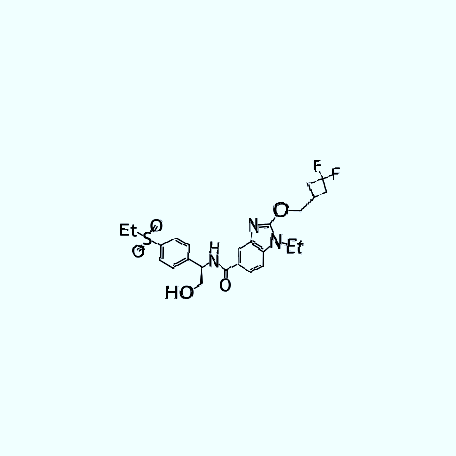 CCn1c(OCC2CC(F)(F)C2)nc2cc(C(=O)N[C@@H](CO)c3ccc(S(=O)(=O)CC)cc3)ccc21